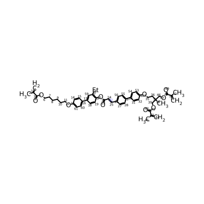 C=C(C)C(=O)OCCCCCCOc1ccc(-c2ccc(OC(=O)/C=C/c3ccc(-c4ccc(OCCC(C)(COC(=O)C(=C)C)COC(=O)C(=C)C)cc4)cc3)c(CC)c2)cc1